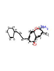 CCc1cc2c(=O)cc(CCC3CCCCC3)cc-2oc1N